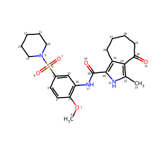 COc1ccc(S(=O)(=O)N2CCCCC2)cc1NC(=O)c1[nH]c(C)c2c1CCCCC2=O